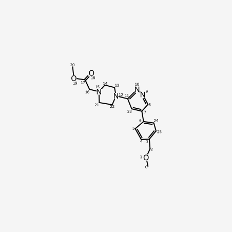 COCc1ccc(-c2cnnc(N3CCN(CC(=O)OC)CC3)c2)cc1